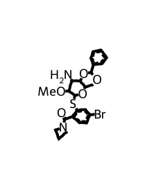 COC1C(Sc2cc(Br)ccc2C(=O)N2CCC2)OC2COC(c3ccccc3)OC2C1N